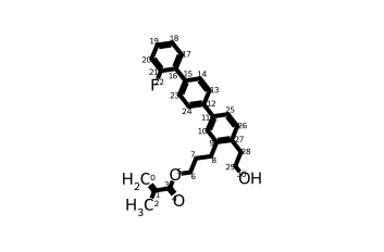 C=C(C)C(=O)OCCCc1cc(-c2ccc(-c3ccccc3F)cc2)ccc1CCO